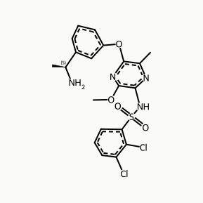 COc1nc(Oc2cccc([C@H](C)N)c2)c(C)nc1NS(=O)(=O)c1cccc(Cl)c1Cl